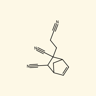 N#CCCC1(C#N)C2C=CC(C2)C1C#N